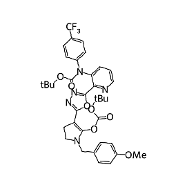 COc1ccc(CN2CCC(c3nnc(-c4ncccc4N(C(=O)OC(C)(C)C)c4ccc(C(F)(F)F)cc4)o3)=C2OC(=O)OC(C)(C)C)cc1